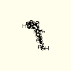 CCc1c2c(nc3ccc(OC(=O)CSCC(=O)O)cc13)-c1cc3c(c(=O)n1C2)COC(=O)[C@]3(O)CC